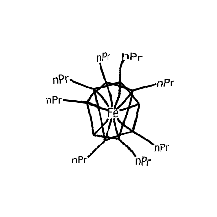 CCC[C]12[CH]3[C]4(CCC)[C]5(CCC)[C]1(CCC)[Fe]32451678[CH]2[C]1(CCC)[C]6(CCC)[C]7(CCC)[C]28CCC